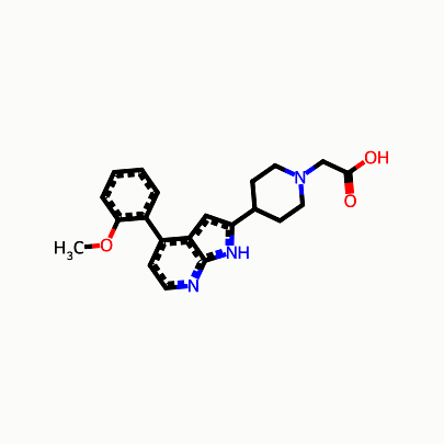 COc1ccccc1-c1ccnc2[nH]c(C3CCN(CC(=O)O)CC3)cc12